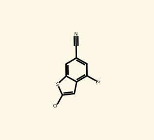 N#Cc1cc(Br)c2cc(Cl)sc2c1